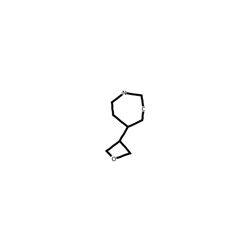 C1C[N]CCC(C2COC2)C1